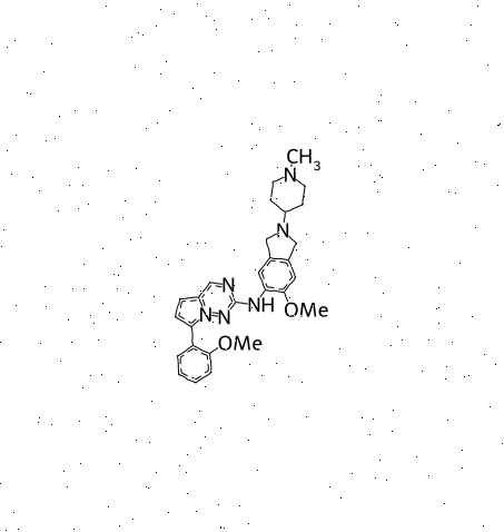 COc1cc2c(cc1Nc1ncc3ccc(-c4ccccc4OC)n3n1)CN(C1CCN(C)CC1)C2